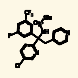 CC(C)(C)[S+]([O-])NC(Cc1ccncc1)(c1cc(F)cc(C(F)(F)F)c1)c1ccc(Cl)cn1